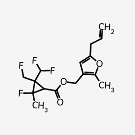 C=CCc1cc(COC(=O)C2C(C)(F)C2(CF)C(F)F)c(C)o1